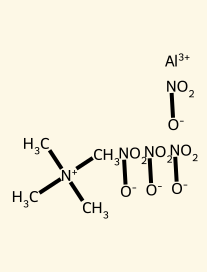 C[N+](C)(C)C.O=[N+]([O-])[O-].O=[N+]([O-])[O-].O=[N+]([O-])[O-].O=[N+]([O-])[O-].[Al+3]